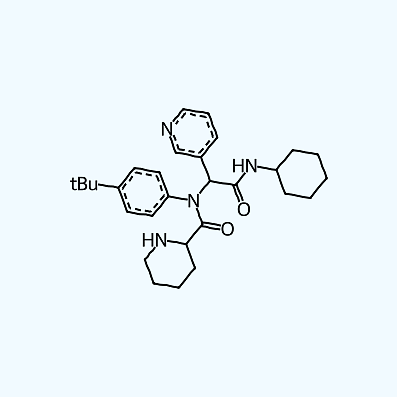 CC(C)(C)c1ccc(N(C(=O)C2CCCCN2)C(C(=O)NC2CCCCC2)c2cccnc2)cc1